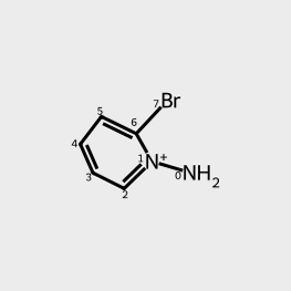 N[n+]1ccccc1Br